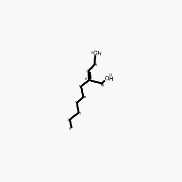 CCCCCCC(=CCO)CO